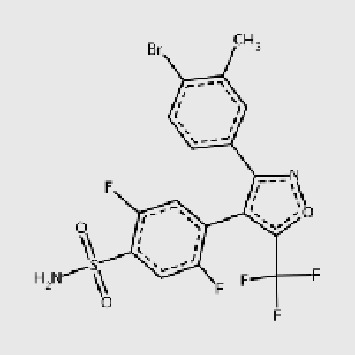 Cc1cc(-c2noc(C(F)(F)F)c2-c2cc(F)c(S(N)(=O)=O)cc2F)ccc1Br